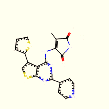 CC1=C(Nc2nc(-c3ccncc3)nc3scc(-c4cccs4)c23)C(=O)NC1=O.Cl